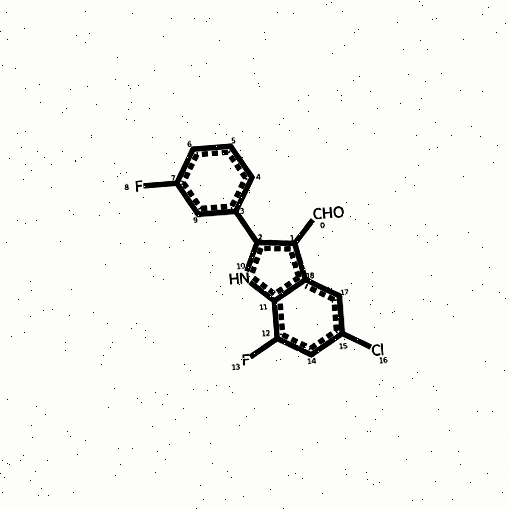 O=Cc1c(-c2cccc(F)c2)[nH]c2c(F)cc(Cl)cc12